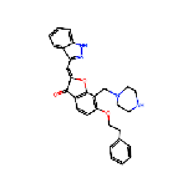 O=C1C(=Cc2n[nH]c3ccccc23)Oc2c1ccc(OCCc1ccccc1)c2CN1CCNCC1